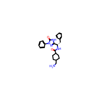 NCC1CCC(C(=O)N[C@@H](Cc2ccccc2)c2nn(-c3ccccc3)c(=O)[nH]2)CC1